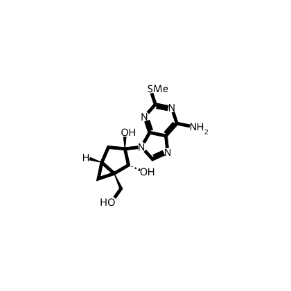 CSc1nc(N)c2ncn([C@@]3(O)C[C@H]4C[C@@]4(CO)[C@H]3O)c2n1